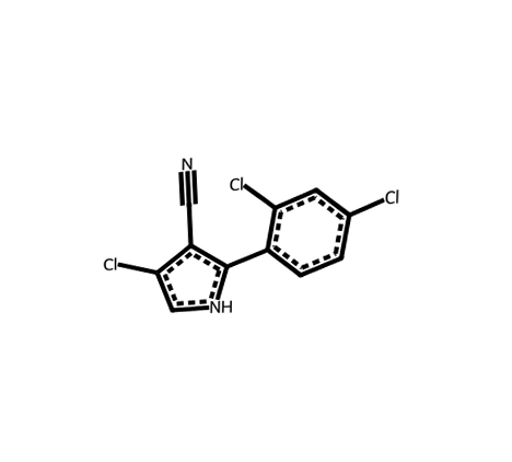 N#Cc1c(Cl)c[nH]c1-c1ccc(Cl)cc1Cl